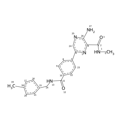 CNC(=O)c1nc(-c2ccc(C(=O)NCc3ccc(C)cc3)cc2)cnc1N